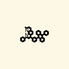 Cc1ccc2ccc3c(-c4cccc(-c5c6ccccc6c(-c6ccccc6)c6ccccc56)c4)cc(-c4ccccc4)nc3c2n1